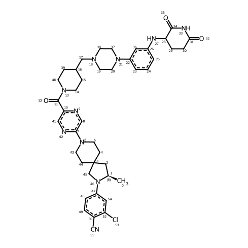 C[C@@H]1CC2(CCN(c3cnc(C(=O)N4CCC(CN5CCN(c6cccc(NC7CCC(=O)NC7=O)c6)CC5)CC4)cn3)CC2)CN1c1ccc(C#N)c(Cl)c1